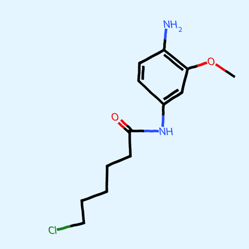 COc1cc(NC(=O)CCCCCCl)ccc1N